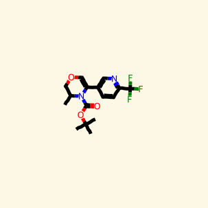 CC1COC=C(c2ccc(C(F)(F)F)nc2)N1C(=O)OC(C)(C)C